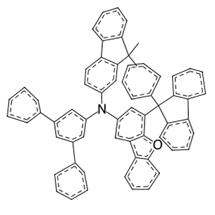 CC1(C)c2ccccc2-c2ccc(N(c3cc(-c4ccccc4)cc(-c4ccccc4)c3)c3cc(C4(c5ccccc5)c5ccccc5-c5ccccc54)c4oc5ccccc5c4c3)cc21